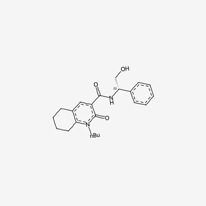 CCCCn1c2c(cc(C(=O)N[C@H](CO)c3ccccc3)c1=O)CCCC2